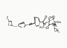 CNC(=O)[C@@](C)(C(=O)NO)N(C)C(=O)c1ccc(C#Cc2ccc(CN3CC(F)C3)cc2)cc1